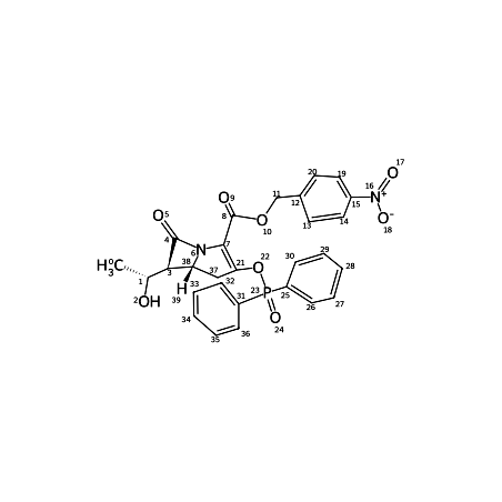 C[C@@H](O)[C@H]1C(=O)N2C(C(=O)OCc3ccc([N+](=O)[O-])cc3)=C(OP(=O)(c3ccccc3)c3ccccc3)C[C@H]12